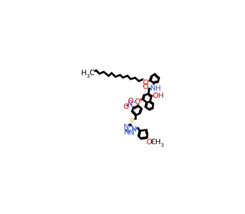 CCCCCCCCCCCCCCOc1ccccc1NC(=O)c1cc(Oc2ccc(CSc3nnnn3Cc3ccc(OC)cc3)cc2[N+](=O)[O-])c2ccccc2c1O